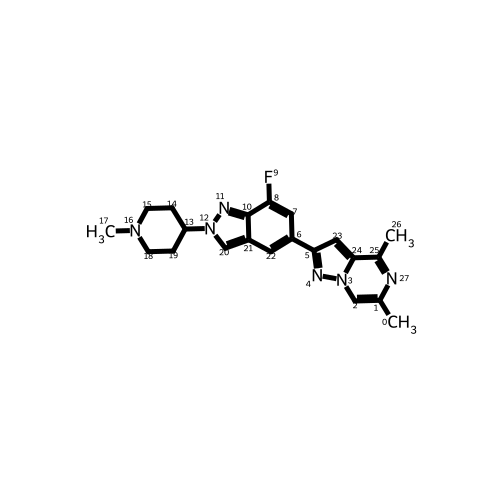 Cc1cn2nc(-c3cc(F)c4nn(C5CCN(C)CC5)cc4c3)cc2c(C)n1